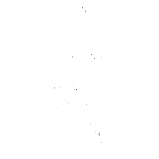 CC(C)(C)OC(=O)N(CCC(=O)Nc1ccc2cnccc2c1)c1ccc(CO[Si](C)(C)C(C)(C)C)s1